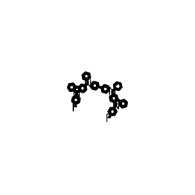 Fc1ccc(-n2c3ccccc3c3cc(N(C4=CCCC=C4)c4ccc(-c5ccc(N(c6ccccc6)c6ccc7c(c6)c6ccccc6n7-c6ccc(F)cc6)cc5)cc4)ccc32)cc1